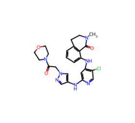 CN1CCc2cccc(Nc3cc(Nc4cnn(CC(=O)N5CCOCC5)c4)ncc3Cl)c2C1=O